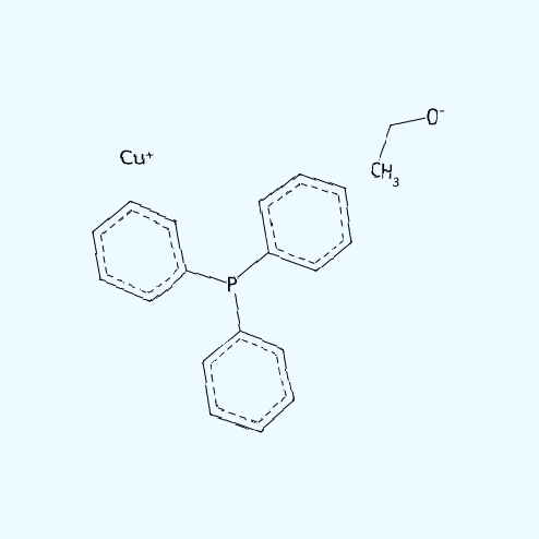 CC[O-].[Cu+].c1ccc(P(c2ccccc2)c2ccccc2)cc1